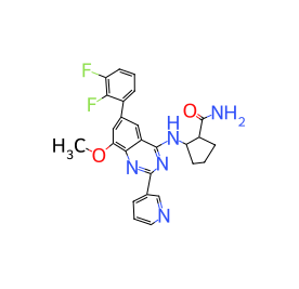 COc1cc(-c2cccc(F)c2F)cc2c(NC3CCCC3C(N)=O)nc(-c3cccnc3)nc12